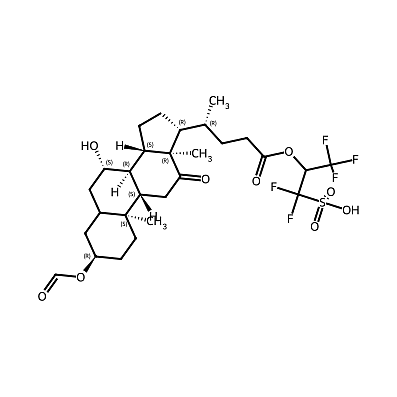 C[C@H](CCC(=O)OC(C(F)(F)F)C(F)(F)S(=O)(=O)O)[C@H]1CC[C@H]2[C@@H]3[C@@H](O)CC4C[C@H](OC=O)CC[C@]4(C)[C@H]3CC(=O)[C@]12C